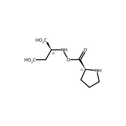 O=C(O)C[C@H](NOC(=O)[C@@H]1CCCN1)C(=O)O